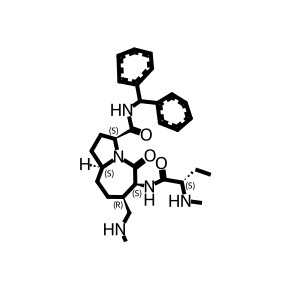 CC[C@H](NC)C(=O)N[C@@H]1C(=O)N2[C@@H](CC[C@@H]1CNC)CC[C@H]2C(=O)NC(c1ccccc1)c1ccccc1